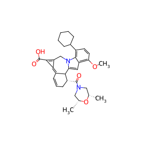 COc1ccc(C2CCCCC2)c2c1cc1n2CC2=C(C(=O)O)C2=C2C=CC[C@@H](C(=O)N3C[C@@H](C)O[C@@H](C)C3)C21